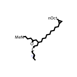 C/C=C/C=C=CCC(CCCCCCCCCC1CC1CCCCCCCC)CC(=O)CCCNC